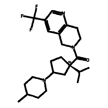 CC1CCN(C2CC[C@@](C(=O)N3CCc4ncc(C(F)(F)F)cc4C3)(C(C)C)C2)CC1